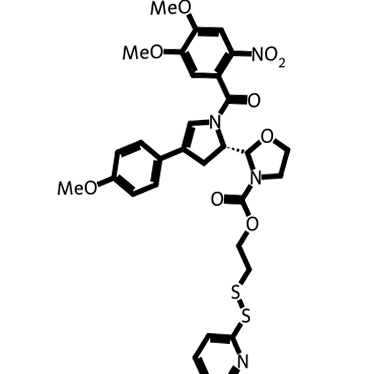 COc1ccc(C2=CN(C(=O)c3cc(OC)c(OC)cc3[N+](=O)[O-])[C@H](C3OCCN3C(=O)OCCSSc3ccccn3)C2)cc1